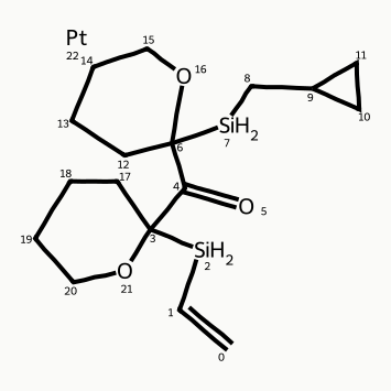 C=C[SiH2]C1(C(=O)C2([SiH2]CC3CC3)CCCCO2)CCCCO1.[Pt]